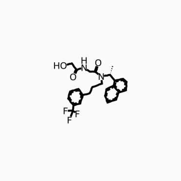 C[C@H](c1cccc2ccccc12)N(CCCc1cccc(C(F)(F)F)c1)C(=O)CNC(=O)CO